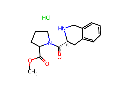 COC(=O)C1CCCN1C(=O)[C@H]1Cc2ccccc2CN1.Cl